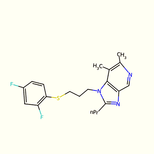 CCCc1nc2cnc(C)c(C)c2n1CCCSc1ccc(F)cc1F